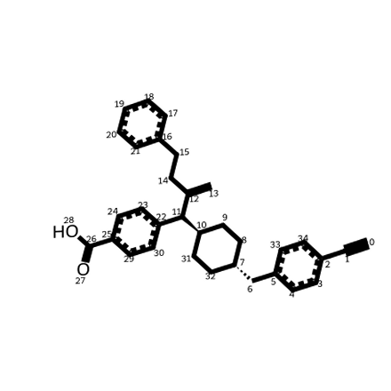 C#Cc1ccc(C[C@H]2CC[C@H](C(C(=C)CCc3ccccc3)c3ccc(C(=O)O)cc3)CC2)cc1